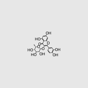 C[C@H]1O[C@@H](Oc2c(-c3ccc(O)c(O)c3)oc3cc(O)cc(O)c3c2=O)[C@H](O)[C@@H](O)[C@@H]1O